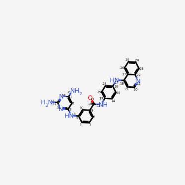 Nc1cc(Nc2cccc(C(=O)Nc3ccc(Nc4ccnc5ccccc45)cc3)c2)nc(N)n1